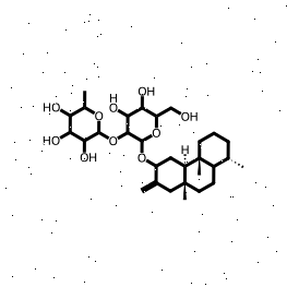 C=C1C[C@@]2(C)CCC3[C@@H](C)CCC[C@@]3(C)[C@@H]2CC1OC1OC(CO)C(O)C(O)C1OC1OC(C)C(O)C(O)C1O